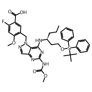 CCC[C@@H](CCO[Si](c1ccccc1)(c1ccccc1)C(C)(C)C)Nc1nc(NC(=O)OC)nc2cnn(Cc3cc(C(=O)O)c(F)cc3OC)c12